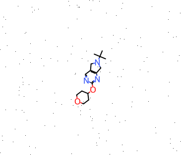 CC(C)(C)N1Cc2cnc(OC3CCOCC3)nc2C1